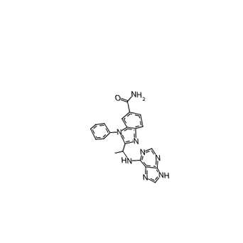 CC(Nc1ncnc2[nH]cnc12)c1nc2ccc(C(N)=O)cc2n1-c1ccccc1